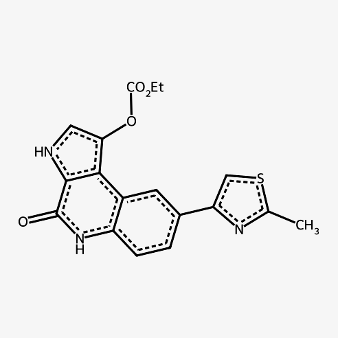 CCOC(=O)Oc1c[nH]c2c(=O)[nH]c3ccc(-c4csc(C)n4)cc3c12